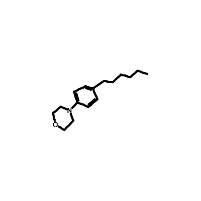 CCCCCCc1ccc(N2CCOCC2)cc1